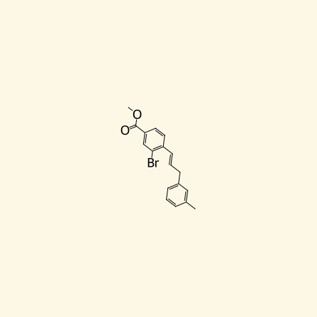 COC(=O)c1ccc(C=CCc2cccc(C)c2)c(Br)c1